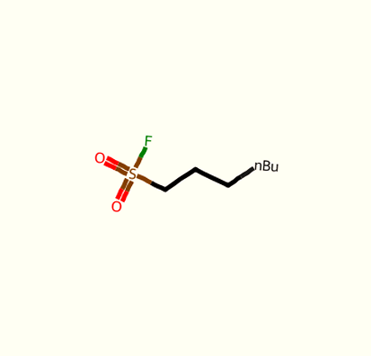 CCCCCCCS(=O)(=O)F